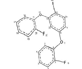 Fc1ccccc1Oc1ccc(I)c(Oc2ccccc2F)c1